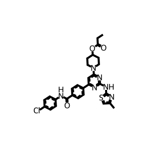 CCC(=O)OC1CCN(c2cc(-c3ccc(C(=O)Nc4ccc(Cl)cc4)cc3)nc(Nc3nc(C)cs3)n2)CC1